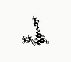 CCOc1cc2ncc(C(N)=O)c(Nc3cccc(CNCCN4CCCC4)c3CC)c2cc1OCC.O=C(O)C(F)(F)F.O=C(O)C(F)(F)F.O=C(O)C(F)(F)F